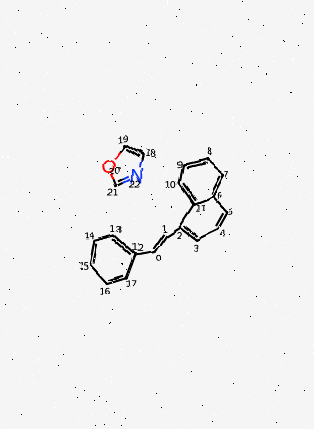 C(=C\c1cccc2ccccc12)/c1ccccc1.c1cocn1